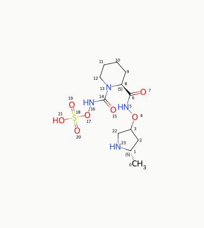 C[C@H]1CC(ONC(=O)[C@@H]2CCCCN2C(=O)NOS(=O)(=O)O)CN1